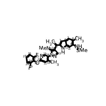 C=C(c1cc2cc(C)c(NSC)cc2[nH]1)c1cnn(-c2cnc(Oc3c(F)cccc3F)cc2C)c1NC